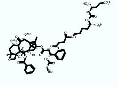 CO[C@H]1C(=O)[C@]2(C)[C@@H](OC)C[C@H]3OC[C@@]3(OC(C)=O)[C@H]2[C@@](C)(OC(=O)c2ccccc2)[C@]2(O)C[C@H](OC(=O)[C@H](OC(=O)CCC(=O)NCCCC[C@H](NC(=O)N[C@@H](CCC(=O)O)C(=O)O)C(=O)O)[C@@H](NC(=O)OC(C)(C)C)c3ccccc3)C(C)=C1C2(C)C